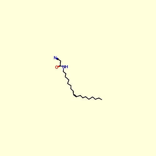 CCCCCCCC/C=C\CCCCCCCCNC(=O)CC#N